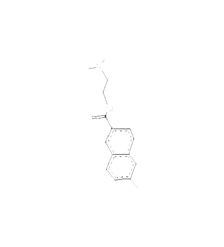 CCc1ccc2cc(C(=O)NCCN(CC)CC)ccc2c1